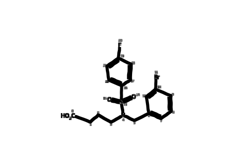 O=C(O)CCCN(Cc1cccc(Br)c1)S(=O)(=O)c1ccc(F)cc1